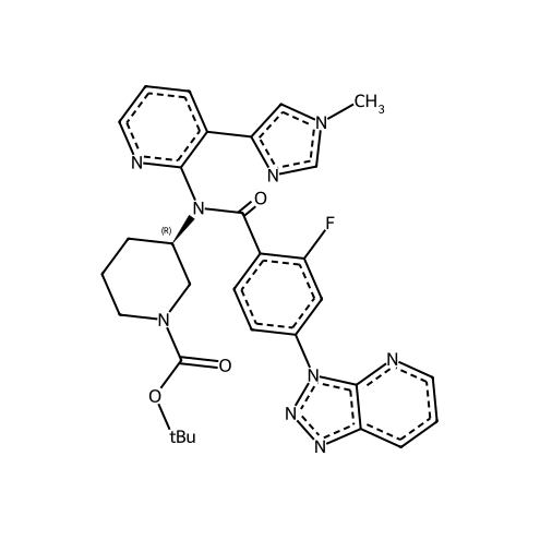 Cn1cnc(-c2cccnc2N(C(=O)c2ccc(-n3nnc4cccnc43)cc2F)[C@@H]2CCCN(C(=O)OC(C)(C)C)C2)c1